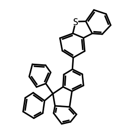 c1ccc(C2(c3ccccc3)c3ccccc3-c3ccc(-c4ccc5sc6ccccc6c5c4)cc32)cc1